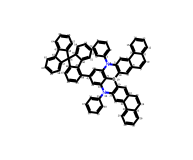 c1ccc(N2c3cc4c(ccc5ccccc54)cc3B3c4cc5ccc6ccccc6c5cc4N(c4ccccc4)c4cc(-c5cccc6c5-c5ccccc5C65c6ccccc6-c6ccccc65)cc2c43)cc1